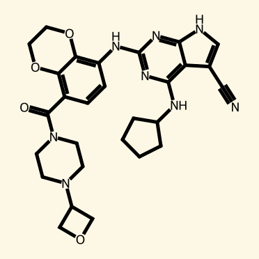 N#Cc1c[nH]c2nc(Nc3ccc(C(=O)N4CCN(C5COC5)CC4)c4c3OCCO4)nc(NC3CCCC3)c12